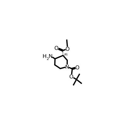 COC(=O)[C@@H]1CN(C(=O)OC(C)(C)C)CCC1N